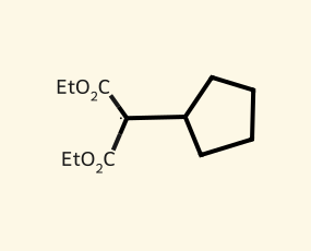 CCOC(=O)[C](C(=O)OCC)C1CCCC1